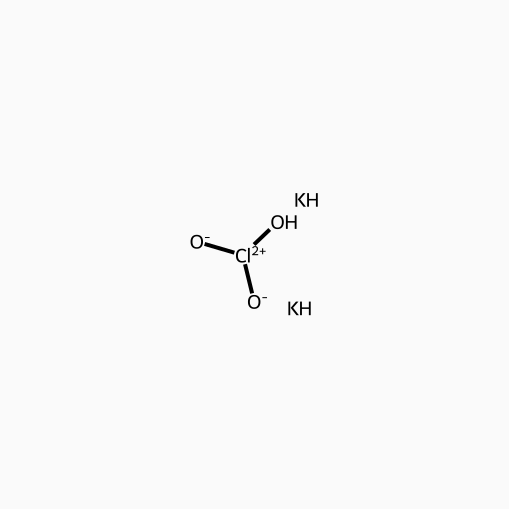 [KH].[KH].[O-][Cl+2]([O-])O